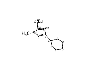 Cn1cc(C2CCCCC2)nc1C(C)(C)C